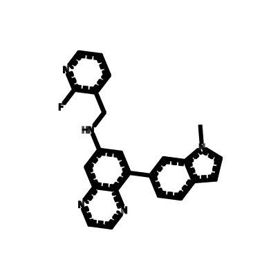 Cn1ccc2ccc(-c3cc(NCc4cccnc4F)cc4nccnc34)cc21